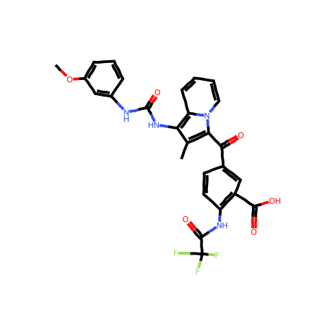 COc1cccc(NC(=O)Nc2c(C)c(C(=O)c3ccc(NC(=O)C(F)(F)F)c(C(=O)O)c3)n3ccccc23)c1